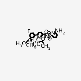 CCC(Oc1nc(-c2cc(F)cc(OCC(C)C)c2)ccc1C(=O)NS(=O)(=O)c1cccc(N)n1)C(C)C